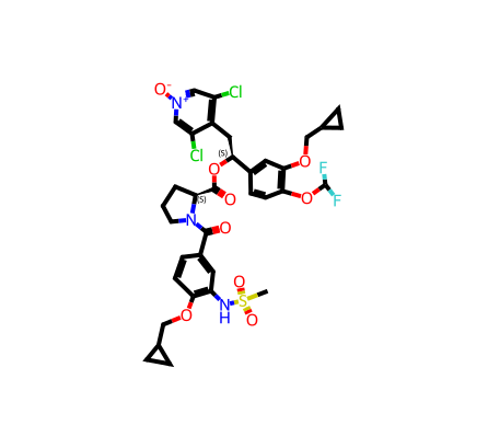 CS(=O)(=O)Nc1cc(C(=O)N2CCC[C@H]2C(=O)O[C@@H](Cc2c(Cl)c[n+]([O-])cc2Cl)c2ccc(OC(F)F)c(OCC3CC3)c2)ccc1OCC1CC1